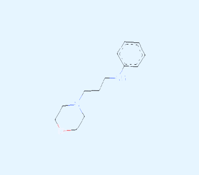 [c]1ccccc1NCCCN1CCOCC1